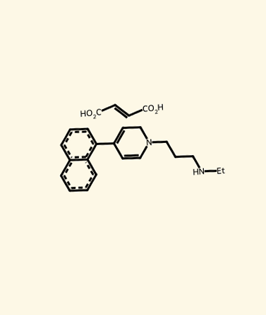 CCNCCCN1C=CC(c2cccc3ccccc23)=CC1.O=C(O)/C=C/C(=O)O